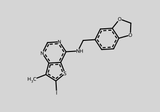 Cc1c(I)sc2c(NCc3ccc4c(c3)OCO4)ncnc12